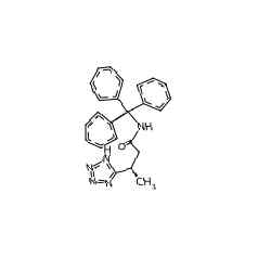 C[C@H](CC(=O)NC(c1ccccc1)(c1ccccc1)c1ccccc1)c1nnn[nH]1